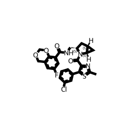 Cc1nc(C(=O)N2[C@H](CNC(=O)c3cc(F)cc4c3OCOC4)C[C@@H]3C[C@@H]32)c(-c2cccc(Cl)c2)s1